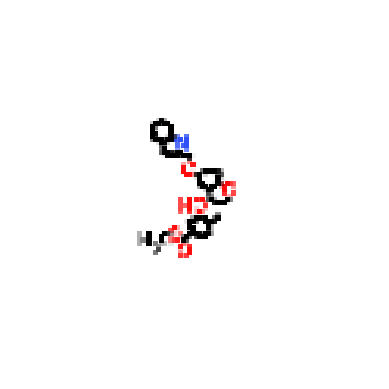 COC(=O)c1ccc(C[C@H]2COc3ccc(OCc4ccc5ccccc5n4)cc3[C@@H]2O)cc1